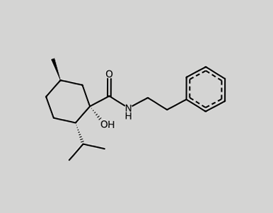 CC(C)[C@@H]1CC[C@@H](C)C[C@@]1(O)C(=O)NCCc1ccccc1